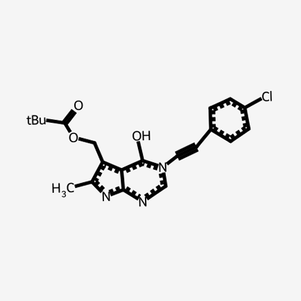 Cc1nc2ncn(C#Cc3ccc(Cl)cc3)c(O)c-2c1COC(=O)C(C)(C)C